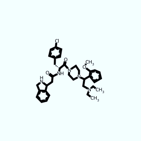 CCN(CC)CC(c1ccccc1OC)N1CCN(C(=O)[C@@H](Cc2ccc(Cl)cc2)NC(=O)CC2NCc3ccccc32)CC1